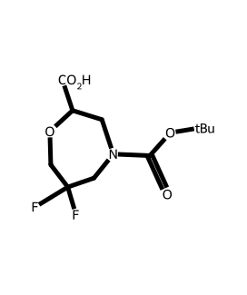 CC(C)(C)OC(=O)N1CC(C(=O)O)OCC(F)(F)C1